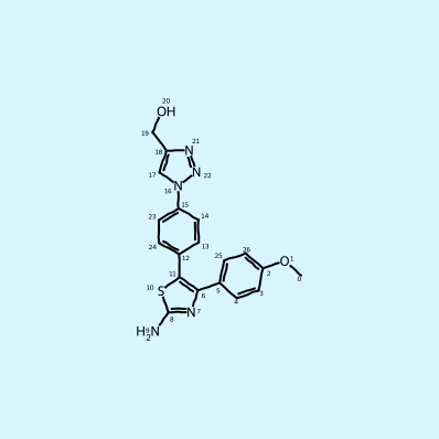 COc1ccc(-c2nc(N)sc2-c2ccc(-n3cc(CO)nn3)cc2)cc1